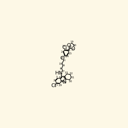 Clc1ccc2c(NCCCCCOc3ccc(C4OCCO4)c(Cl)c3)c3c(nc2c1)CCCC3